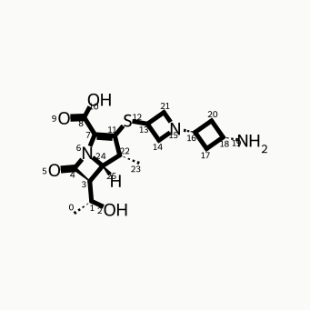 C[C@@H](O)[C@H]1C(=O)N2C(C(=O)O)=C(SC3CN([C@H]4C[C@@H](N)C4)C3)[C@H](C)[C@H]12